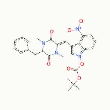 CN1C(=O)C(Cc2ccccc2)N(C)C(=O)C1=Cc1cn(OC(=O)OC(C)(C)C)c2cccc([N+](=O)[O-])c12